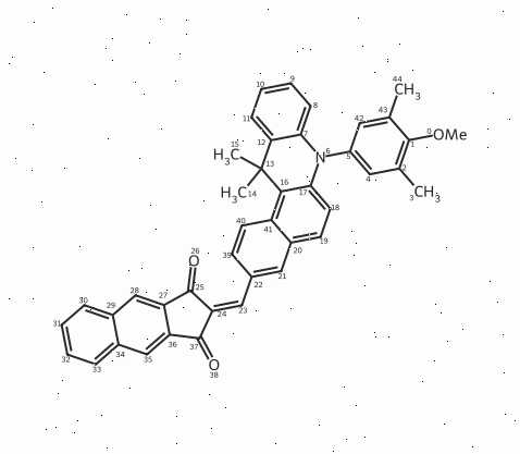 COc1c(C)cc(N2c3ccccc3C(C)(C)c3c2ccc2cc(C=C4C(=O)c5cc6ccccc6cc5C4=O)ccc32)cc1C